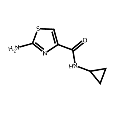 Nc1nc(C(=O)NC2CC2)cs1